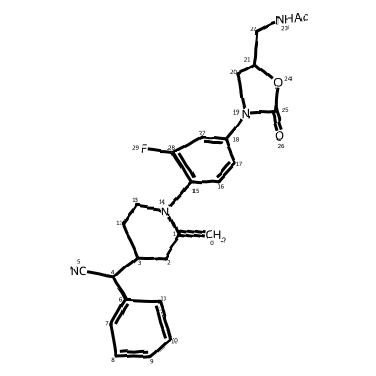 C=C1CC(C(C#N)c2ccccc2)CCN1c1ccc(N2CC(CNC(C)=O)OC2=O)cc1F